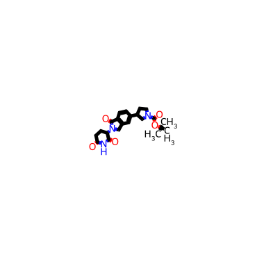 CC(C)(C)OC(=O)N1CCC(c2ccc3c(c2)CN(C2CCC(=O)NC2=O)C3=O)C1